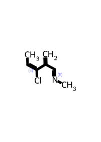 C=C(/C=N/C)/C(Cl)=C\C